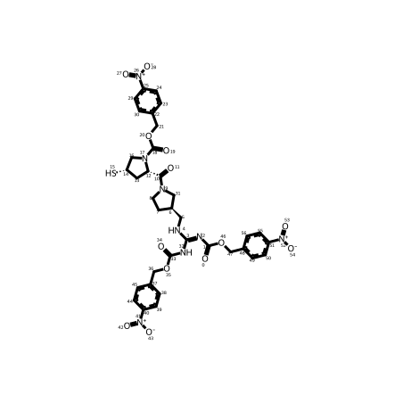 O=C(N=C(NC[C@H]1CCN(C(=O)[C@@H]2C[C@H](S)CN2C(=O)OCc2ccc([N+](=O)[O-])cc2)C1)NC(=O)OCc1ccc([N+](=O)[O-])cc1)OCc1ccc([N+](=O)[O-])cc1